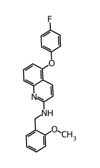 COc1ccccc1CNc1ccc2c(Oc3ccc(F)cc3)cccc2n1